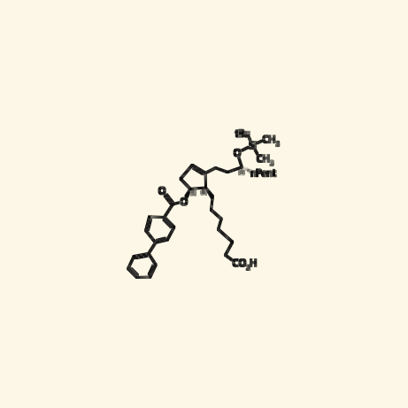 CCCCC[C@H](CCC1=CC[C@H](OC(=O)c2ccc(-c3ccccc3)cc2)[C@@H]1CCCCCCC(=O)O)O[Si](C)(C)C(C)(C)C